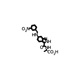 C[C@H](NC(=O)c1[nH]nc2cc(NCc3cccc([N+](=O)[O-])c3)ccc12)C(=O)O